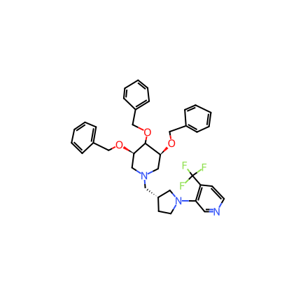 FC(F)(F)c1ccncc1N1CC[C@H](CN2C[C@H](OCc3ccccc3)C(OCc3ccccc3)[C@H](OCc3ccccc3)C2)C1